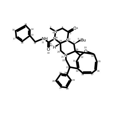 CCC(C)[C@@H]1N2C(=O)CN(C)N(C(=O)NCc3ccccc3)[C@H]2CN2CC(c3ccccc3)C3=CC4OC(/C=C\C=C/3)C412